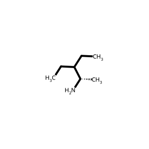 CCC(CC)[C@H](C)N